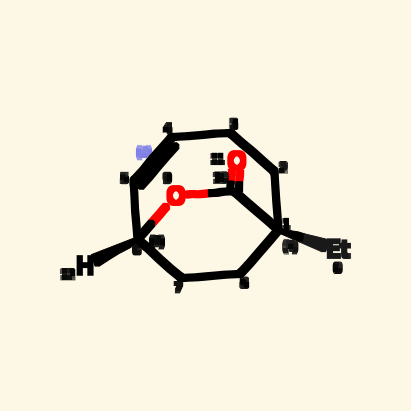 CC[C@@]12CC/C=C\[C@@H](CC1)OC2=O